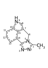 Cc1nnc2n1Cc1c[nH]c3cccc-2c13